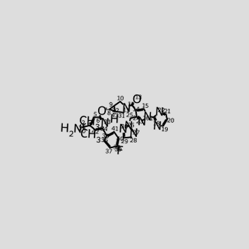 CC(C)(N)c1cc(O[C@@H]2C3CN(C(=O)c4cn(-c5ncccn5)nc4Cn4nccn4)C[C@H]32)nc(-c2ccc(F)cc2)c1